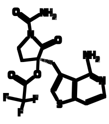 NC(=O)N1CC[C@](Cc2csc3ccnc(N)c23)(OC(=O)C(F)(F)F)C1=O